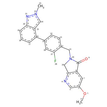 COc1cnc2c(c1)C(=O)N(Cc1ccc(-c3cccc4nn(C)cc34)cc1F)C2